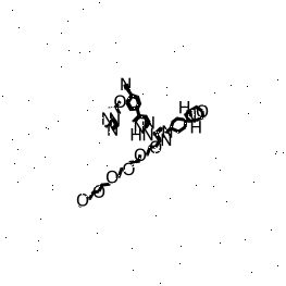 COCCOCCOCCOCCOCCOc1nn(C2CCC(N3[C@@H]4CC[C@H]3COC4)CC2)cc1Nc1ncc(-c2ccc(C#N)c(O[C@@H](C)Cn3cncn3)c2)cn1